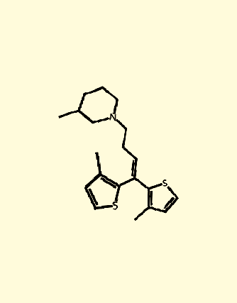 Cc1ccsc1C(=CCCN1CCCC(C)C1)c1sccc1C